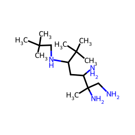 CC(C)(C)CNC(CC(N)C(C)(N)CN)C(C)(C)C